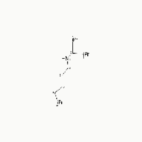 CC(C)CCCCNC(C(C)C)C(C)C